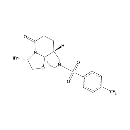 CC(C)[C@H]1CO[C@]23CCN(S(=O)(=O)c4ccc(C(F)(F)F)cc4)C[C@H]2CCC(=O)N13